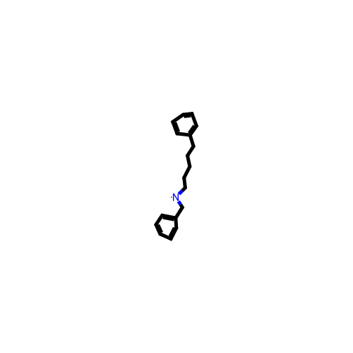 c1ccc(CCCCC[N]Cc2ccccc2)cc1